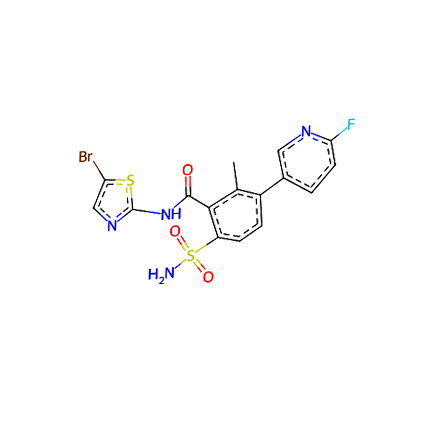 Cc1c(-c2ccc(F)nc2)ccc(S(N)(=O)=O)c1C(=O)Nc1ncc(Br)s1